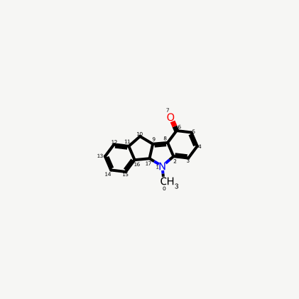 CN1C2=CC=CC(=O)C2=C2Cc3ccccc3C21